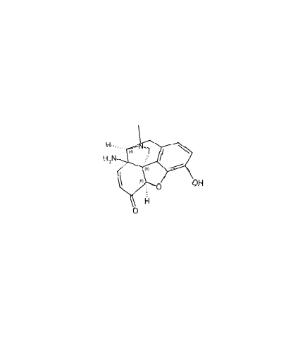 CN1CC[C@]23c4c5ccc(O)c4O[C@H]2C(=O)C=CC3(N)[C@H]1C5